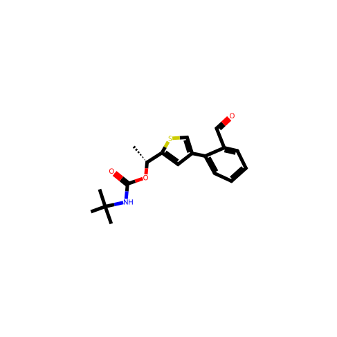 C[C@@H](OC(=O)NC(C)(C)C)c1cc(-c2ccccc2C=O)cs1